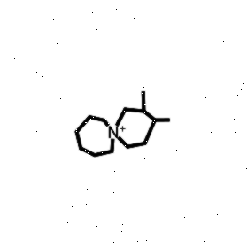 CC1CC[N+]2(CCCCCC2)CC1C